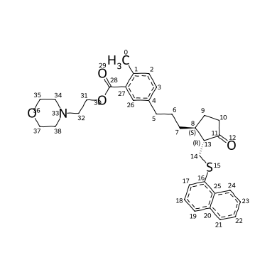 Cc1ccc(CCC[C@H]2CCC(=O)[C@@H]2CSc2cccc3ccccc23)cc1C(=O)OCCN1CCOCC1